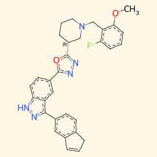 COc1cccc(F)c1CN1CCC[C@@H](c2nnc(-c3ccc4[nH]nc(-c5ccc6c(c5)C=CC6)c4c3)o2)C1